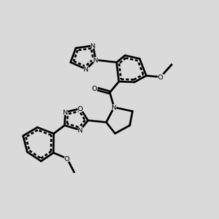 COc1ccc(-n2nccn2)c(C(=O)N2CCCC2c2nc(-c3ccccc3OC)no2)c1